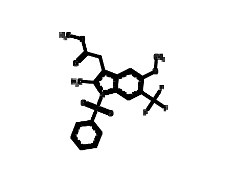 COC(=O)Cc1c(C)n(S(=O)(=O)c2ccccc2)c2cc(C(F)(F)F)c(OC)cc12